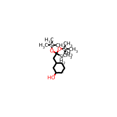 C[SiH2]C(CC1CC[CH]C(O)C1)(O[Si](C)(C)C)O[Si](C)(C)C